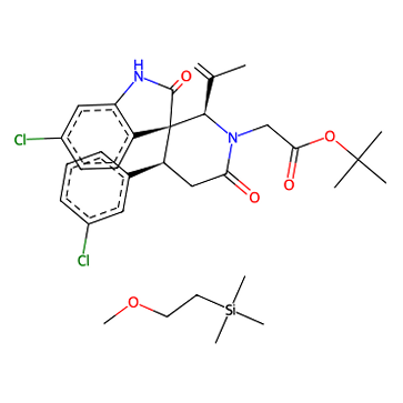 C=C(C)[C@H]1N(CC(=O)OC(C)(C)C)C(=O)C[C@@H](c2cccc(Cl)c2)[C@]12C(=O)Nc1cc(Cl)ccc12.COCC[Si](C)(C)C